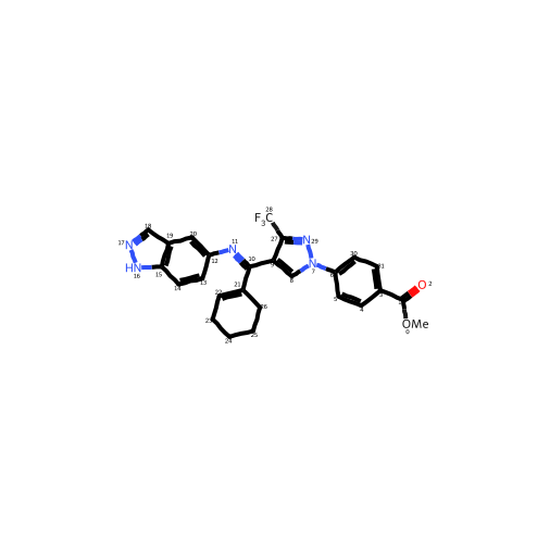 COC(=O)c1ccc(-n2cc(/C(=N/c3ccc4[nH]ncc4c3)C3=CCCCC3)c(C(F)(F)F)n2)cc1